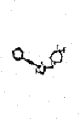 FC1(F)CCN(Cc2cnc(C#Cc3ccccc3)s2)CC1